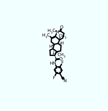 CC1=C2N(C)C(=O)CC[C@]2(C)[C@H]2CC[C@]3(C)[C@@H](C(=O)Nc4cc(F)c(C#N)cc4F)CC[C@H]3[C@@H]2C1